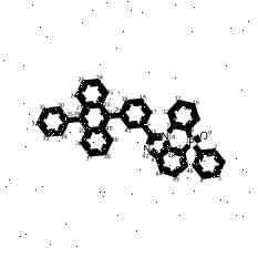 O=P1(c2ccccc2)c2ccccc2-n2c(-c3cccc(-c4c5ccccc5c(-c5ccccc5)c5ccccc45)c3)nc3cccc1c32